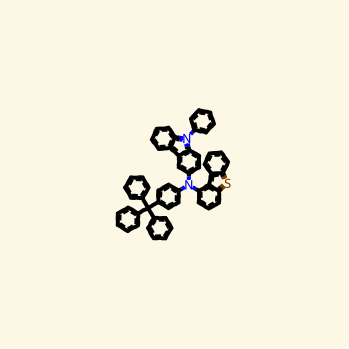 c1ccc(-n2c3ccccc3c3cc(N(c4ccc(C(c5ccccc5)(c5ccccc5)c5ccccc5)cc4)c4cccc5sc6ccccc6c45)ccc32)cc1